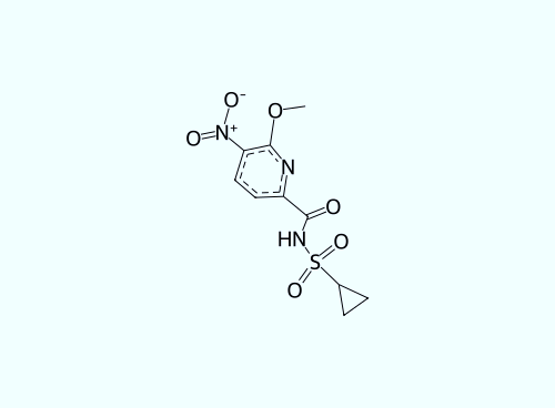 COc1nc(C(=O)NS(=O)(=O)C2CC2)ccc1[N+](=O)[O-]